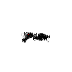 Cc1ncsc1-c1ccc(CNC(=O)[C@@H]2C[C@@H](O)CN2C(=O)C(NC(=O)CCCCOC(=O)c2ccc(-c3cnc(N)c4c(-c5ccc(NS(=O)(=O)C(F)F)c(OC(C)c6ccc(F)cc6)c5)nn(C)c34)cc2)C(C)(C)C)cc1